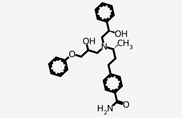 C[C@H](CCc1ccc(C(N)=O)cc1)N(CC(O)COc1ccccc1)C[C@H](O)c1ccccc1